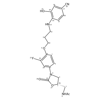 CC(=O)NC[C@H]1CN(c2ccc(OCCCNc3ccc(C#N)cc3O)c(F)c2)C(=O)O1